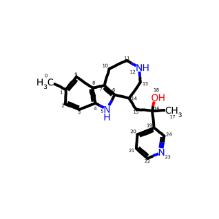 Cc1ccc2[nH]c3c(c2c1)CCNCC3CC(C)(O)c1cccnc1